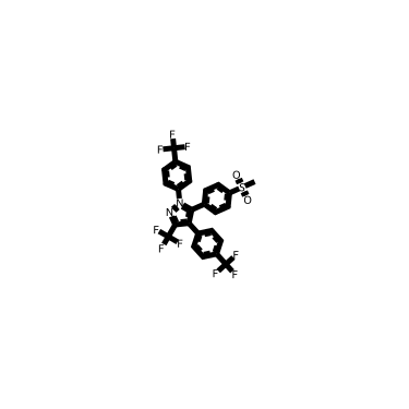 CS(=O)(=O)c1ccc(-c2c(-c3ccc(C(F)(F)F)cc3)c(C(F)(F)F)nn2-c2ccc(C(F)(F)F)cc2)cc1